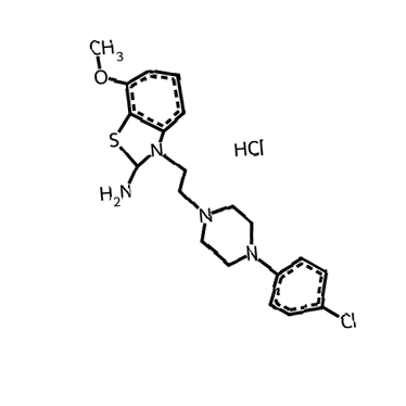 COc1cccc2c1SC(N)N2CCN1CCN(c2ccc(Cl)cc2)CC1.Cl